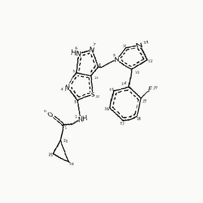 O=C(Nc1nc2[nH]nc(-n3cncc3-c3ccccc3F)c2s1)C1CC1